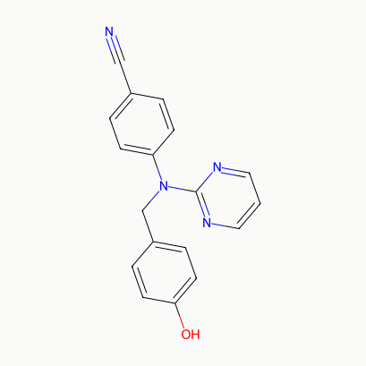 N#Cc1ccc(N(Cc2ccc(O)cc2)c2ncccn2)cc1